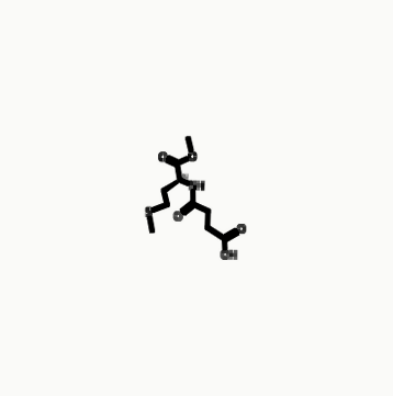 COC(=O)[C@H](CCSC)NC(=O)CCC(=O)O